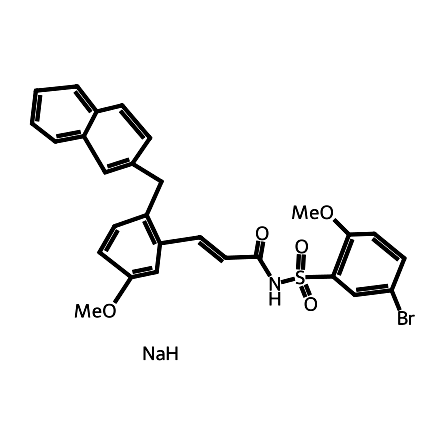 COc1ccc(Cc2ccc3ccccc3c2)c(C=CC(=O)NS(=O)(=O)c2cc(Br)ccc2OC)c1.[NaH]